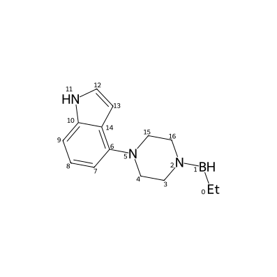 CCBN1CCN(c2cccc3[nH]ccc23)CC1